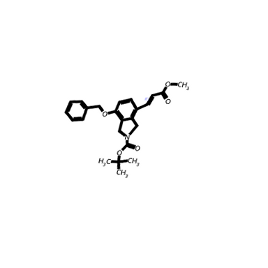 COC(=O)/C=C/c1ccc(OCc2ccccc2)c2c1CN(C(=O)OC(C)(C)C)C2